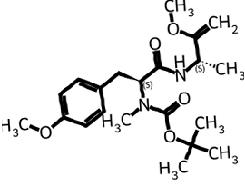 C=C(OC)[C@H](C)NC(=O)[C@H](Cc1ccc(OC)cc1)N(C)C(=O)OC(C)(C)C